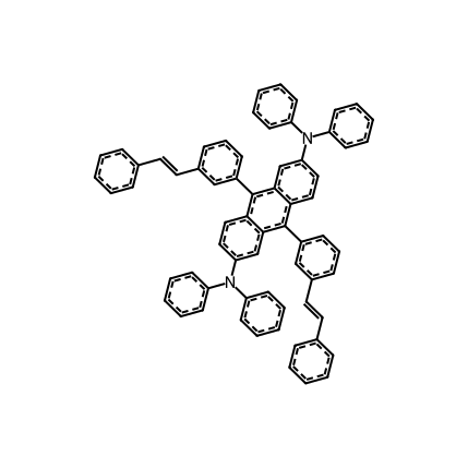 C(=C\c1cccc(-c2c3ccc(N(c4ccccc4)c4ccccc4)cc3c(-c3cccc(/C=C/c4ccccc4)c3)c3ccc(N(c4ccccc4)c4ccccc4)cc23)c1)/c1ccccc1